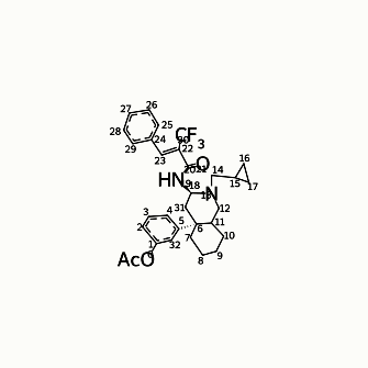 CC(=O)Oc1cccc([C@@]23CCCCC2CN(CC2CC2)[C@H](NC(=O)C(=Cc2ccccc2)C(F)(F)F)C3)c1